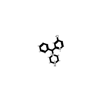 Clc1ccnc(C(c2ccccc2)N2CCNCC2)c1